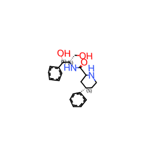 O=C(N[C@@H](CO)[C@@H](O)c1ccccc1)C1C[C@@H](c2ccccc2)CCN1